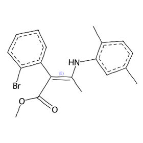 COC(=O)/C(=C(\C)Nc1cc(C)ccc1C)c1ccccc1Br